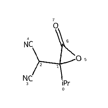 CC(C)C1(C(C#N)C#N)OC1=O